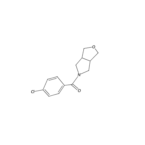 O=C(c1ccc(Cl)cc1)N1CC2COCC2C1